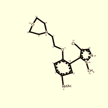 CC(=O)Nc1ccc(OCCN2CCOCC2)c(-c2c(Cl)cnn2C)c1